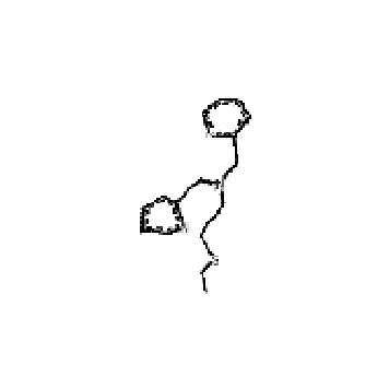 CCSCCN(Cc1ccccn1)Cc1ccccn1